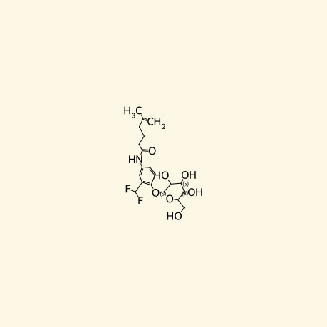 C=C(C)CCCC(=O)Nc1ccc(O[C@@H]2OC(CO)[C@H](O)[C@H](O)C2O)c(C(F)F)c1